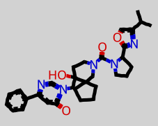 CC(C)c1coc(C2CCCN2C(=O)N2CCC(O)(Cn3cnc(-c4ccccc4)cc3=O)C3(CCCC3)C2)n1